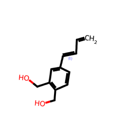 C=C/C=C/c1ccc(CO)c(CO)c1